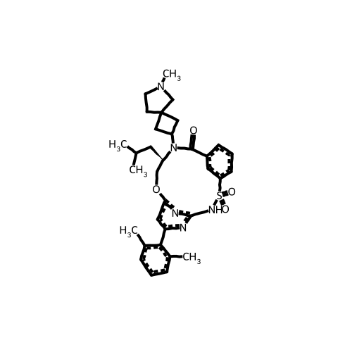 Cc1cccc(C)c1-c1cc2nc(n1)NS(=O)(=O)c1cccc(c1)C(=O)N(C1CC3(CCN(C)C3)C1)[C@H](CC(C)C)CO2